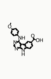 COc1ccc(Nc2ncnc3[nH]c4ccc(C(=O)O)cc4c23)cc1